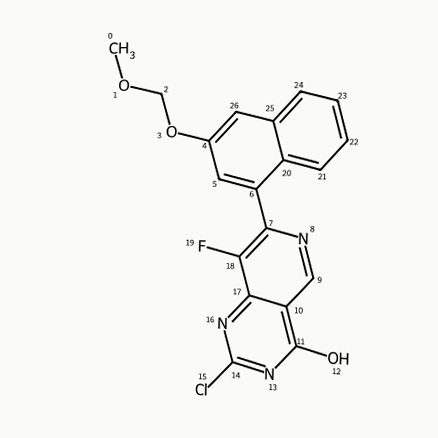 COCOc1cc(-c2ncc3c(O)nc(Cl)nc3c2F)c2ccccc2c1